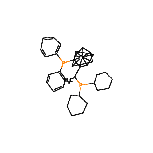 CC(P(C1CCCCC1)C1CCCCC1)[C]12[CH]3[CH]4[CH]5[C]1(P(c1ccccc1)c1ccccc1)[Fe]43521678[CH]2[CH]1[CH]6[CH]7[CH]28